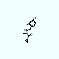 CN(NCc1ccc(Cl)cc1F)C(=O)C1CC1